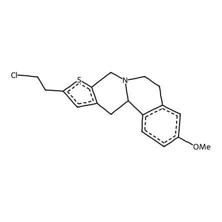 COc1ccc2c(c1)CCN1Cc3sc(CCCl)cc3CC21